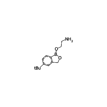 CC(C)(C)c1ccc2c(c1)COB2OCCN